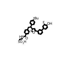 CC(C)(C)c1ccc(C(Cc2ccc(C(=O)NCCS(=O)(=O)O)cc2)c2cc(-c3cccc(-c4ccc(O)c(F)c4)c3)on2)cc1